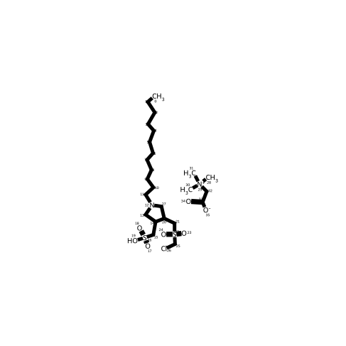 CCCCCCCCCCCCN1CC(CS(=O)(=O)O)C(CS(=O)(=O)CCl)C1.C[N+](C)(C)CC(=O)[O-]